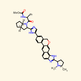 COC(=O)NC(C(=O)N1C(c2ncc(-c3ccc4c(c3)COc3cc5c(ccc6nc(C7CC[C@H](C)N7C)[nH]c65)cc3-4)[nH]2)C[C@@H]2CCC[C@@H]21)C(C)C